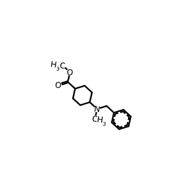 COC(=O)C1CCC(N(C)Cc2ccccc2)CC1